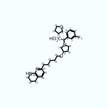 O=C(O)[C@@H](c1cc(F)ccc1[C@@H]1CCCO1)N1CC[C@@H](OCCCCCc2ccc3c(n2)NCCC3)C1